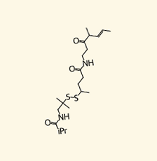 CC=CC(C)C(=O)CCNC(=O)CCC(C)SSC(C)(C)CNC(=O)C(C)C